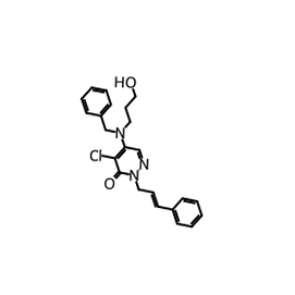 O=c1c(Cl)c(N(CCCO)Cc2ccccc2)cnn1CC=Cc1ccccc1